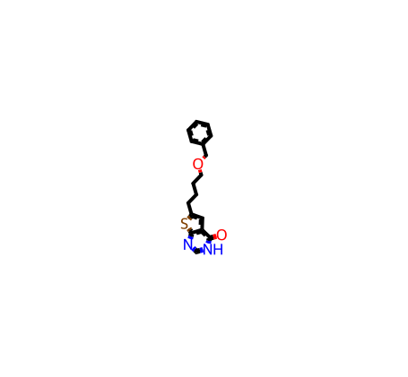 O=c1[nH]cnc2sc(CCCCOCc3ccccc3)cc12